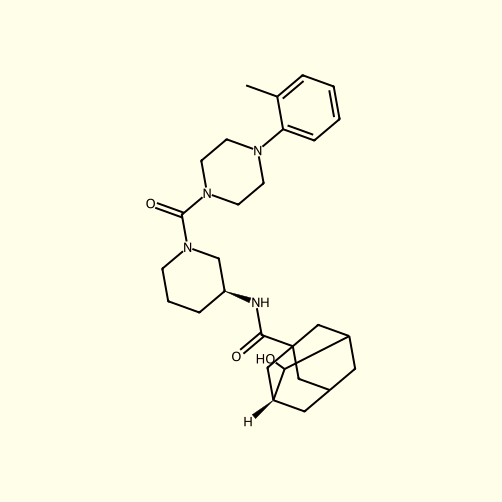 Cc1ccccc1N1CCN(C(=O)N2CCC[C@H](NC(=O)C34CC5CC(C3)C(O)[C@H](C5)C4)C2)CC1